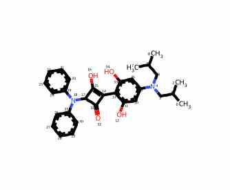 CC(C)CN(CC(C)C)c1cc(O)c(C2=C(O)C(N(c3ccccc3)c3ccccc3)C2=O)c(O)c1